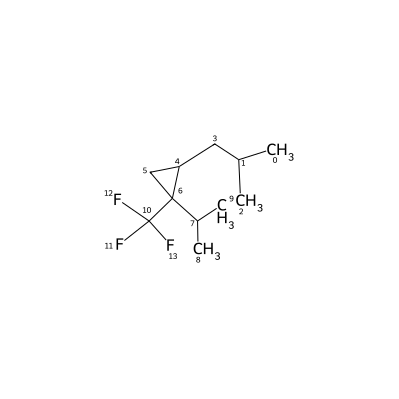 CC(C)CC1CC1(C(C)C)C(F)(F)F